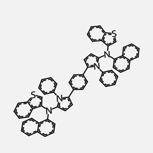 c1ccc(-n2c(-c3ccc(-c4ccc(N(c5cccc6ccccc56)c5csc6ccccc56)n4-c4ccccc4)cc3)ccc2N(c2cccc3ccccc23)c2csc3ccccc23)cc1